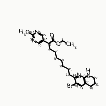 CCOC(=O)C(CCCCCCCc1nc2c(cc1Br)CCCN2)c1cnc(C)nc1